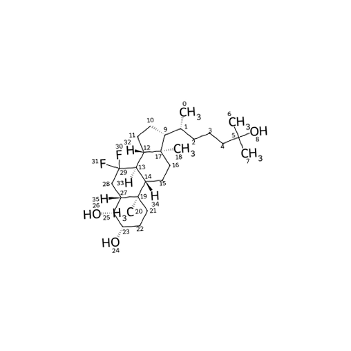 C[C@H](CCCC(C)(C)O)[C@H]1CC[C@H]2[C@H]3[C@H](CC[C@]12C)[C@@]1(C)CC[C@H](O)[C@H](O)[C@@H]1CC3(F)F